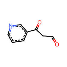 O=CCC(=O)c1cccnc1